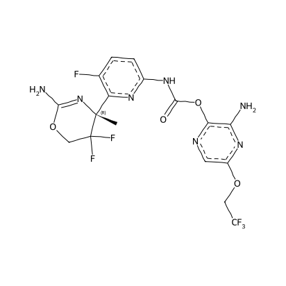 C[C@]1(c2nc(NC(=O)Oc3ncc(OCC(F)(F)F)nc3N)ccc2F)N=C(N)OCC1(F)F